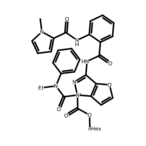 CCCCCCOC(=O)[N+]1(C(=O)N(CC)c2ccccc2)N=C(NC(=O)c2ccccc2NC(=O)c2cccn2C)c2occc21